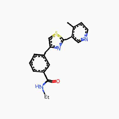 CCNC(=O)c1cccc(-c2csc(-c3cnccc3C)n2)c1